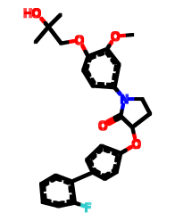 COc1cc(N2CCC(Oc3ccc(-c4ccccc4F)cc3)C2=O)ccc1OCC(C)(C)O